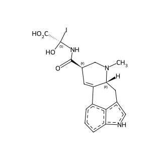 CN1C[C@H](C(=O)N[C@@](O)(I)C(=O)O)C=C2c3cccc4[nH]cc(c34)C[C@H]21